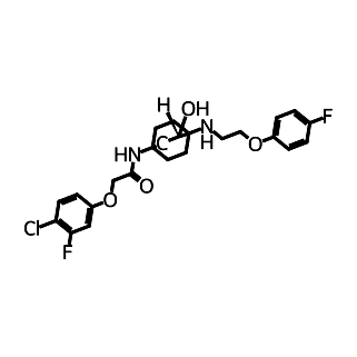 O=C(COc1ccc(Cl)c(F)c1)NC12CCC(NCCOc3ccc(F)cc3)(CC1)[C@@H](O)C2